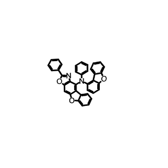 c1ccc(-c2nc3c(N(c4ccccc4)c4cccc5oc6ccccc6c45)c4c(cc3o2)oc2ccccc24)cc1